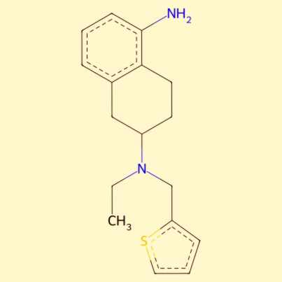 CCN(Cc1cccs1)C1CCc2c(N)cccc2C1